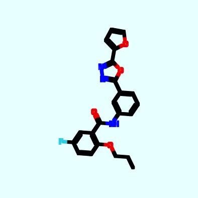 CCCOc1ccc(F)cc1C(=O)Nc1cccc(-c2nnc(-c3ccco3)o2)c1